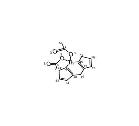 CC(=O)[O][Ti]1([O]C(C)=O)[C]2=C(C=CC2)CC2=[C]1CC=C2